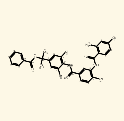 Cc1cc(C#N)ccc1C(=O)Nc1cc(C(=O)Nc2c(Cl)cc(C(OC(=O)c3ccccc3)(C(F)(F)F)C(F)(F)F)cc2Br)ccc1C#N